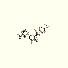 CNc1nccc(-c2c[nH]c(=O)c(NC(=O)c3ccc(C(C)(C)C)cc3)c2)n1